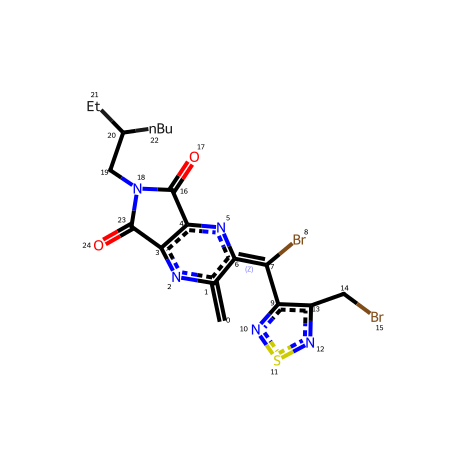 C=c1nc2c(n/c1=C(\Br)c1nsnc1CBr)C(=O)N(CC(CC)CCCC)C2=O